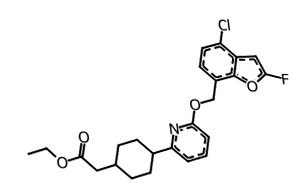 CCOC(=O)CC1CCC(c2cccc(OCc3ccc(Cl)c4cc(F)oc34)n2)CC1